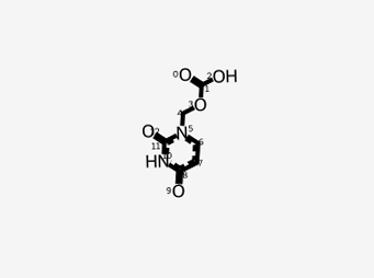 O=C(O)OCn1ccc(=O)[nH]c1=O